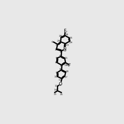 Cc1cc(-c2ccc(-c3ccc(OCC(C)C)cc3)c(F)c2)nc2ccc(F)cc12